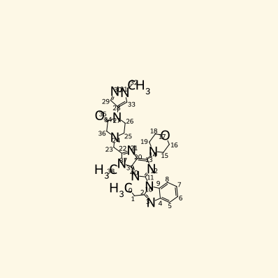 CCc1nc2ccccc2n1-c1nc(N2CCOCC2)c2nc(CN3CCN(c4cnn(C)c4)C(=O)C3)n(C)c2n1